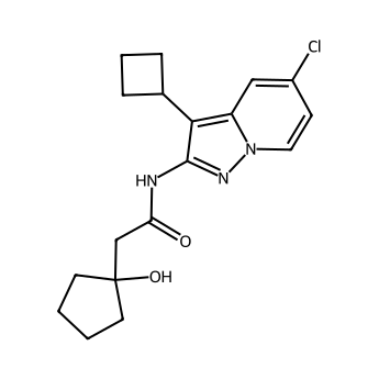 O=C(CC1(O)CCCC1)Nc1nn2ccc(Cl)cc2c1C1CCC1